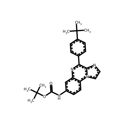 CC(C)(C)OC(=O)Nc1ccc2c(c1)nc(-c1ccc(C(C)(C)C)cc1)c1nccn12